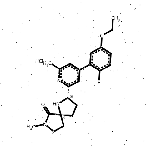 CCOc1ccc(F)c(-c2cc(C)nc([C@@H]3CC[C@]4(CCN(C)C4=O)N3)c2)c1.Cl